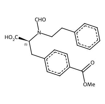 COC(=O)c1ccc(C[C@@H](C(=O)O)N(C=O)CCc2ccccc2)cc1